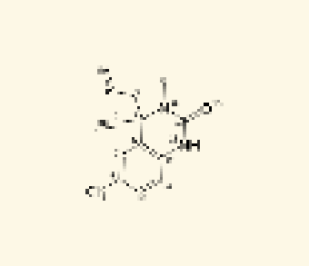 C#CC1(CC=C)c2cc(Cl)ccc2NC(=O)N1C